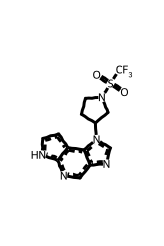 O=S(=O)(N1CCC(n2cnc3cnc4[nH]ccc4c32)C1)C(F)(F)F